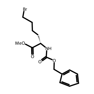 COC(=O)[C@H](CCCCBr)NC(=O)OCc1ccccc1